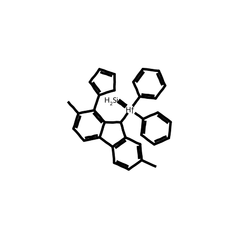 Cc1ccc2c(c1)[CH]([Hf](=[SiH2])([c]1ccccc1)[c]1ccccc1)c1c-2ccc(C)c1C1=CC=CC1